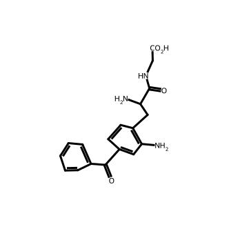 Nc1cc(C(=O)c2ccccc2)ccc1CC(N)C(=O)NCC(=O)O